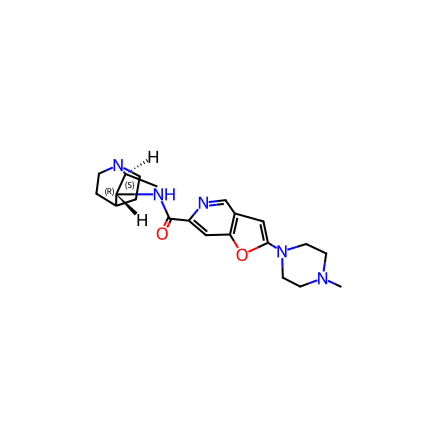 C[C@H]1[C@H](NC(=O)c2cc3oc(N4CCN(C)CC4)cc3cn2)C2CCN1CC2